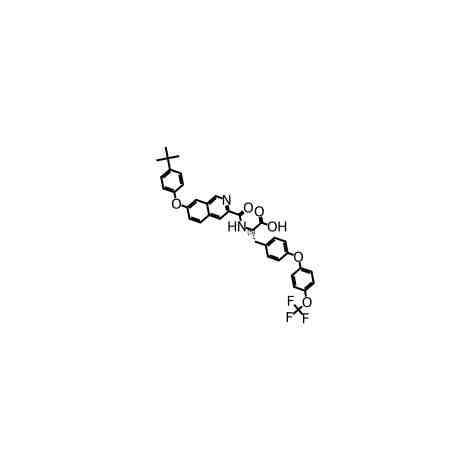 CC(C)(C)c1ccc(Oc2ccc3cc(C(=O)N[C@@H](Cc4ccc(Oc5ccc(OC(F)(F)F)cc5)cc4)C(=O)O)ncc3c2)cc1